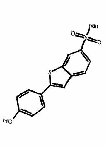 CCCCS(=O)(=O)c1ccc2[c]c(-c3ccc(O)cc3)sc2c1